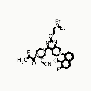 C=C(F)C(=O)N1CCN(c2nc(OCCN(CC)CC)nc3c2CCN(c2cccc4ccc(F)c(Cl)c24)C3)C[C@@H]1CC#N